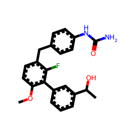 COc1ccc(Cc2ccc(NC(N)=O)cc2)c(F)c1-c1cccc(C(C)O)c1